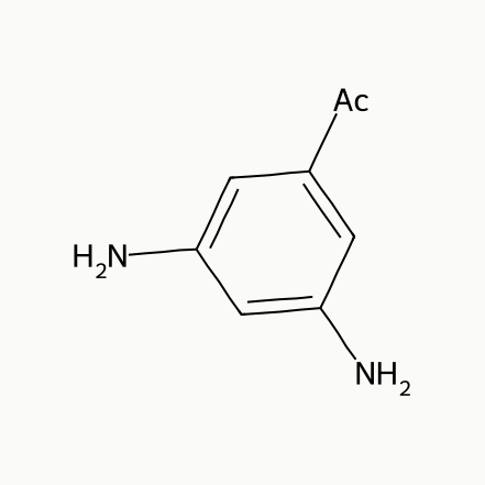 CC(=O)c1cc(N)cc(N)c1